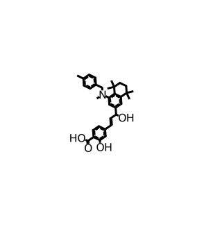 Cc1ccc(CN(C)c2cc(C(O)C=Cc3ccc(C(=O)O)c(O)c3)cc3c2C(C)(C)CCC3(C)C)cc1